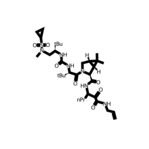 C=CCNC(=O)C(=O)C(CCC)NC(=O)[C@@H]1[C@@H]2[C@H](CN1C(=O)[C@@H](NC(=O)N[C@H](CN(C)S(=O)(=O)C1CC1)C(C)(C)C)C(C)(C)C)C2(C)C